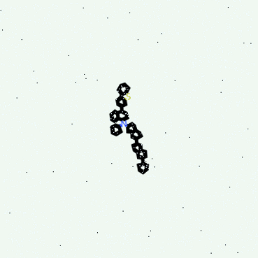 c1ccc(-c2ccc3cc(-c4ccc5ccc(N(c6ccccc6)c6ccc(-c7ccc8c(c7)sc7ccccc78)c7ccccc67)cc5c4)ccc3c2)cc1